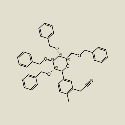 Cc1ccc(C2O[C@H](COCc3ccccc3)[C@@H](OCc3ccccc3)[C@H](OCc3ccccc3)[C@H]2OCc2ccccc2)cc1CC#N